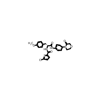 COc1ccc(C[C@@H](NC(=O)c2ccc(Cl)s2)C(=O)Nc2ccc(N3CCOCC3=O)cc2)cc1